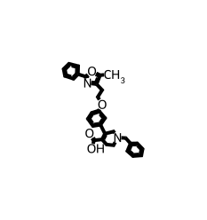 Cc1oc(-c2ccccc2)nc1CCOc1cccc(C2=C(C(=O)O)CCN(Cc3ccccc3)C2)c1